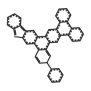 C1=CC(c2ccccc2)C=c2c1c1cc3c(cc1c1cc4c5ccccc5c5ccccc5c4cc21)=c1ccccc1=N3